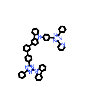 c1ccc(-c2nc(-c3ccc(-n4c5ccccc5c5cc(-c6cccc(-c7ccc(-c8nc(-c9ccccc9)nc(-n9c%10ccccc%10c%10ccccc%109)n8)cc7)c6)ccc54)cc3)nc(-c3ccccn3)n2)cc1